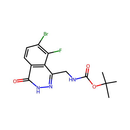 CC(C)(C)OC(=O)NCc1n[nH]c(=O)c2ccc(Br)c(F)c12